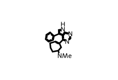 CNC1CCCC=C(c2ncnc3[nH]cc(-c4ccccc4)c23)C1